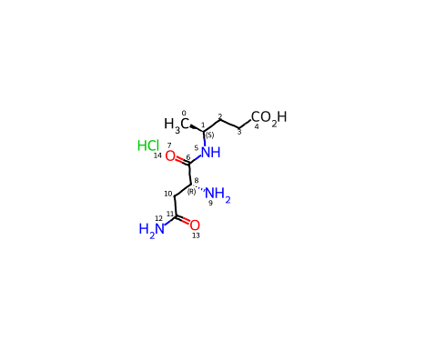 C[C@@H](CCC(=O)O)NC(=O)[C@H](N)CC(N)=O.Cl